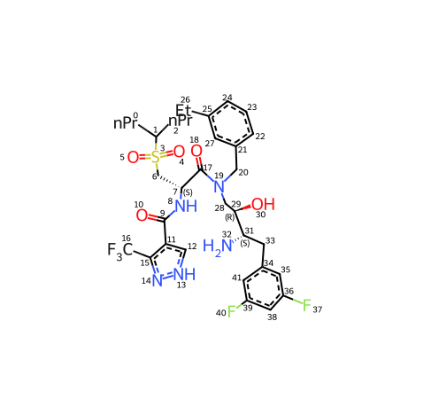 CCCC(CCC)S(=O)(=O)C[C@@H](NC(=O)c1c[nH]nc1C(F)(F)F)C(=O)N(Cc1cccc(CC)c1)C[C@@H](O)[C@@H](N)Cc1cc(F)cc(F)c1